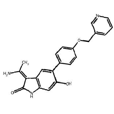 C/C(N)=C1/C(=O)Nc2cc(O)c(-c3ccc(OCc4cccnc4)cc3)cc21